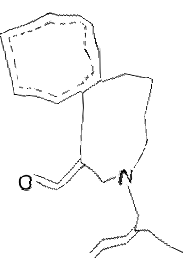 C=C(C)N1CCc2ccccc2C1=O